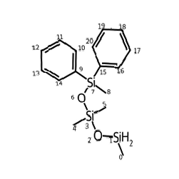 C[SiH2]O[Si](C)(C)O[Si](C)(c1ccccc1)c1ccccc1